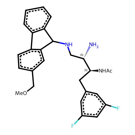 COCc1ccc2c(c1)C(NC[C@H](N)[C@H](Cc1cc(F)cc(F)c1)NC(C)=O)c1ccccc1-2